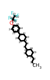 CCCC1CCC(CCC2CCC(c3ccc(OC(F)(F)C(F)F)cc3)CC2)CC1